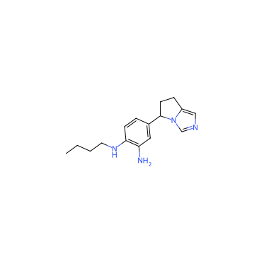 CCCCNc1ccc(C2CCc3cncn32)cc1N